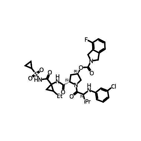 CCC1CC1(NC(=O)[C@@H]1C[C@@H](OC(=O)N2Cc3cccc(F)c3C2)CN1C(=O)[C@@H](Nc1cccc(Cl)c1)C(C)C)C(=O)NS(=O)(=O)C1CC1